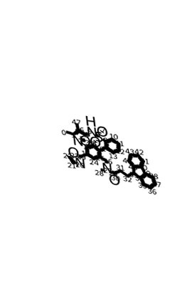 Cc1noc(NS(=O)(=O)c2ccccc2-c2ccc(-c3ncco3)cc2CN(C)C(=O)CCC2c3ccccc3-c3ccccc32)c1C